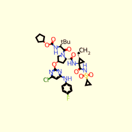 C=C[C@@H]1C[C@]1(NC(=O)[C@@H]1C[C@@H](Oc2nc(Cl)cc(Nc3ccc(F)cc3)n2)CN1C(=O)[C@@H](NC(=O)OC1CCCC1)C(C)(C)C)C(=O)NS(=O)(=O)C1CC1